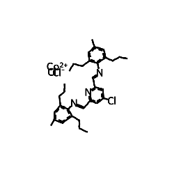 CCCc1cc(C)cc(CCC)c1N=Cc1cc(Cl)cc(C=Nc2c(CCC)cc(C)cc2CCC)n1.[Cl-].[Cl-].[Co+2]